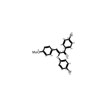 COc1ccc(C=C(Sc2ccc(Br)cc2)C(=O)c2ccc(Br)cc2)cc1